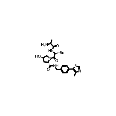 Cc1ncsc1-c1ccc(CNC(=O)[C@@H]2C[C@@H](O)CN2C(=O)[C@@H](NC(=O)C(C)N)C(C)(C)C)cc1